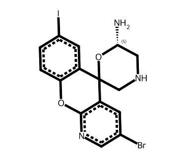 N[C@@H]1CNCC2(O1)c1cc(I)ccc1Oc1ncc(Br)cc12